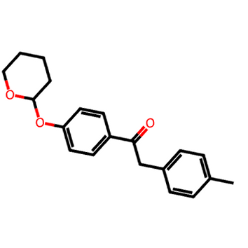 Cc1ccc(CC(=O)c2ccc(OC3CCCCO3)cc2)cc1